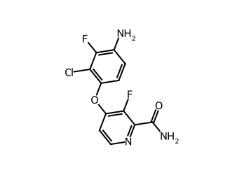 NC(=O)c1nccc(Oc2ccc(N)c(F)c2Cl)c1F